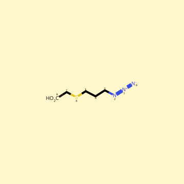 [N-]=[N+]=NCCCSCC(=O)O